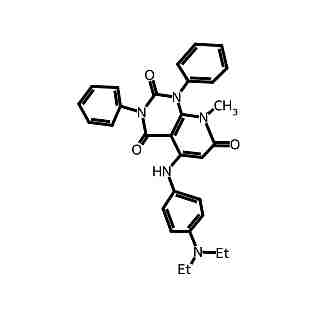 CCN(CC)c1ccc(Nc2cc(=O)n(C)c3c2c(=O)n(-c2ccccc2)c(=O)n3-c2ccccc2)cc1